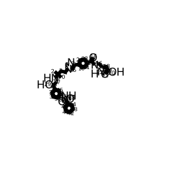 CC(C)(CCn1cnc(-c2ccc(C(=O)NCc3cc(O)on3)cc2)c1)NC[C@H](O)c1cccc(NS(=O)(=O)c2ccccc2)c1